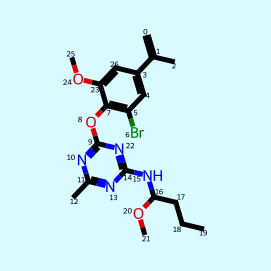 C=C(C)c1cc(Br)c(Oc2nc(C)nc(NC(CCC)OC)n2)c(OC)c1